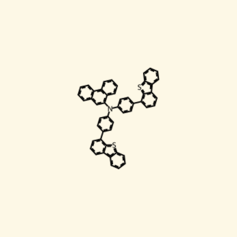 c1ccc2c(c1)cc(N(c1ccc(-c3cccc4c3sc3ccccc34)cc1)c1ccc(-c3cccc4c3sc3ccccc34)cc1)c1ccccc12